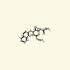 NCC(=O)NC(Cc1ccc2ccccc2c1)C(=O)NCC(N)=O